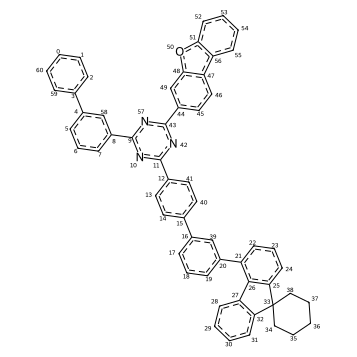 c1ccc(-c2cccc(-c3nc(-c4ccc(-c5cccc(-c6cccc7c6-c6ccccc6C76CCCCC6)c5)cc4)nc(-c4ccc5c(c4)oc4ccccc45)n3)c2)cc1